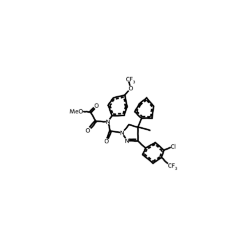 COC(=O)C(=O)N(C(=O)N1CC(C)(c2ccccc2)C(c2ccc(C(F)(F)F)c(Cl)c2)=N1)c1ccc(OC(F)(F)F)cc1